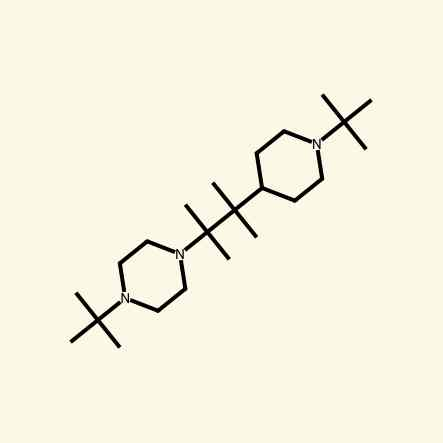 CC(C)(C)N1CCC(C(C)(C)C(C)(C)N2CCN(C(C)(C)C)CC2)CC1